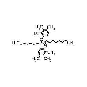 CCCCCCC[CH2][Sn]([CH2]CCCCCCC)([O]c1ccc(C)c(C)c1C)[O]c1ccc(C)c(C)c1C